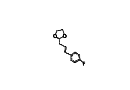 Fc1ccc(C=CC[C]2OCCO2)cc1